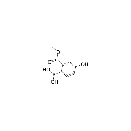 COC(=O)c1cc(O)ccc1B(O)O